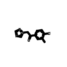 Cc1cc(C(=O)Cn2cncn2)ccc1Cl